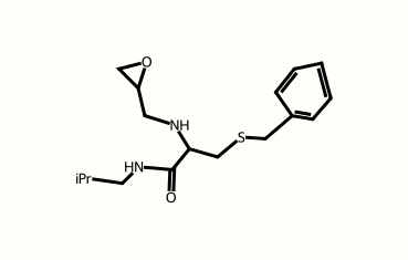 CC(C)CNC(=O)C(CSCc1ccccc1)NCC1CO1